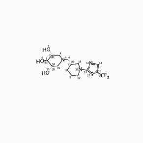 O[C@H]1[C@H](O)CN(C[C@H]2CCCN(c3ncc(C(F)(F)F)s3)C2)C[C@@H]1O